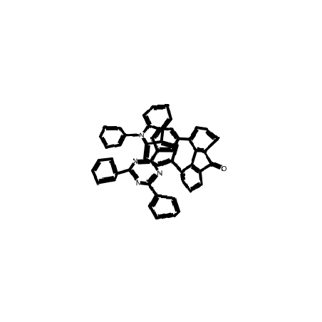 O=C1c2cccc(-c3cccc(-c4nc(-c5ccccc5)nc(-c5ccccc5)n4)c3)c2-c2c1cccc2-c1ccc2c(c1)c1ccccc1n2-c1ccccc1